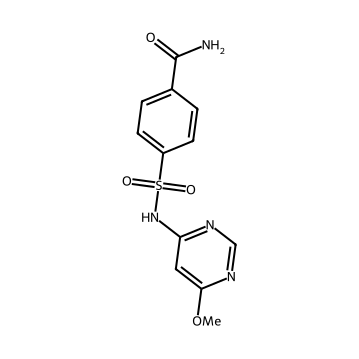 COc1cc(NS(=O)(=O)c2ccc(C(N)=O)cc2)ncn1